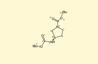 CC(C)(C)OC(=O)N[C@@H]1CCN(C(=O)OC(C)(C)C)C1